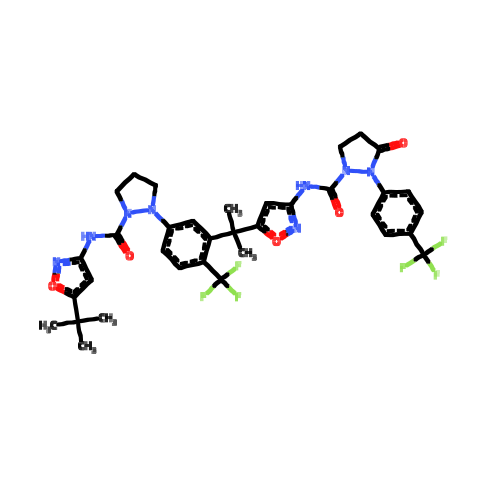 CC(C)(C)c1cc(NC(=O)N2CCCN2c2ccc(C(F)(F)F)c(C(C)(C)c3cc(NC(=O)N4CCC(=O)N4c4ccc(C(F)(F)F)cc4)no3)c2)no1